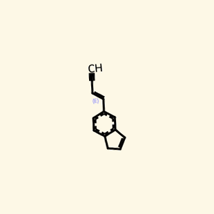 C#C/C=C/c1ccc2c(c1)C=CC2